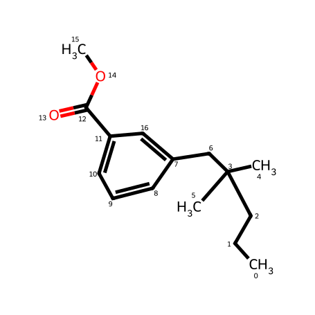 CCCC(C)(C)Cc1cccc(C(=O)OC)c1